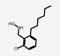 CCCCCCc1cccc(Cl)c1CNO